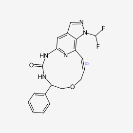 O=C1Nc2cc3cnn(C(F)F)c3c(n2)/C=C\COCC(c2ccccc2)N1